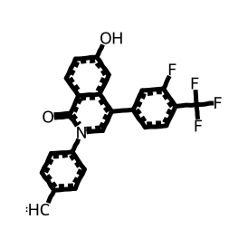 [CH]c1ccc(-n2cc(-c3ccc(C(F)(F)F)c(F)c3)c3cc(O)ccc3c2=O)cc1